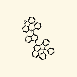 c1ccc(N(c2ccc(-c3cc4ccccc4c4c3-c3ccccc3C4(c3ccccc3)c3ccccc3)c3ccccc23)c2cccc3sc4ccccc4c23)cc1